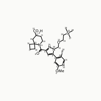 COc1cc(-c2cc(C(=O)N3CCC(C(=O)O)CC34CCC4)nn2COCC[Si](C)(C)C)c(F)cn1